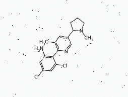 Cc1cc(C2CCCN2C)cnc1-c1c(N)cc(Cl)cc1Cl